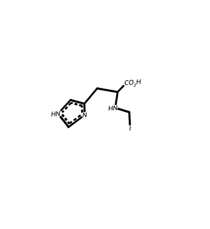 O=C(O)C(Cc1c[nH]cn1)NCI